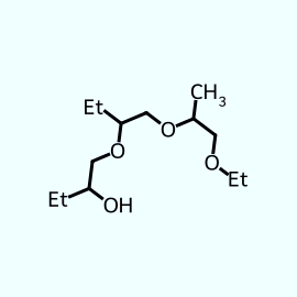 CCOCC(C)OCC(CC)OCC(O)CC